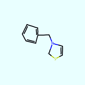 [CH]1SC=CN1Cc1ccccc1